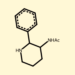 CC(=O)NC1CCCNC1c1ccccc1